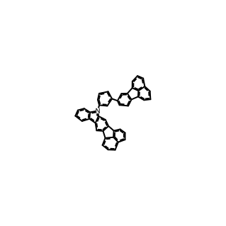 c1cc(-c2ccc3c(c2)-c2cccc4cccc-3c24)cc(-n2c3ccccc3c3cc4c(cc32)-c2cccc3cccc-4c23)c1